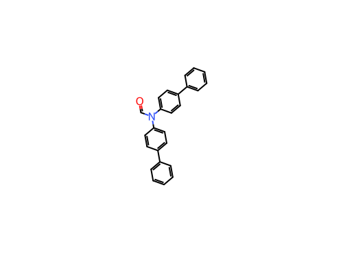 O=CN(c1ccc(-c2ccccc2)cc1)c1ccc(-c2ccccc2)cc1